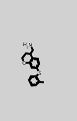 Cc1ccccc1Sc1ccc2c(c1)OCCC2CN